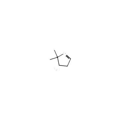 CC1(C)CCC=N1.N